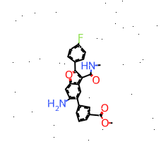 CNC(=O)c1c(-c2ccc(F)cc2)oc2cc(N)c(-c3cccc(C(=O)OC)c3)cc12